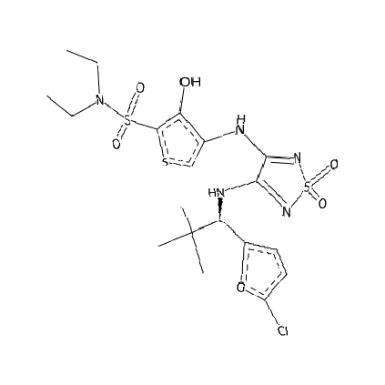 CCN(CC)S(=O)(=O)c1scc(NC2=NS(=O)(=O)N=C2N[C@@H](c2ccc(Cl)o2)C(C)(C)C)c1O